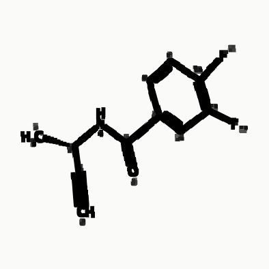 C#C[C@H](C)NC(=O)c1ccc(F)c(F)c1